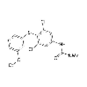 CCOc1cccc(Sc2c(Cl)cc(NC(=O)NC)cc2Cl)c1